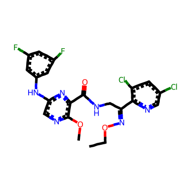 CCON=C(CNC(=O)c1nc(Nc2cc(F)cc(F)c2)cnc1OC)c1ncc(Cl)cc1Cl